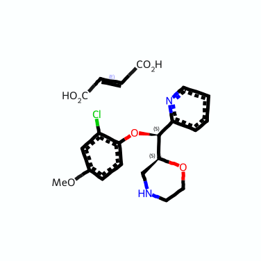 COc1ccc(O[C@@H](c2ccccn2)[C@@H]2CNCCO2)c(Cl)c1.O=C(O)/C=C/C(=O)O